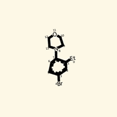 CCc1cc(Br)ccc1N1CCOCC1